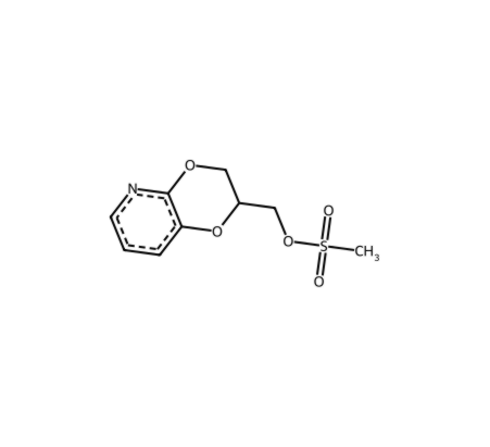 CS(=O)(=O)OCC1COc2ncccc2O1